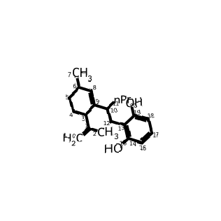 C=C(C)C1CCC(C)C=C1C(CCC)Cc1c(O)cccc1O